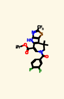 CC(C)OC(=O)C1=CN(C(=O)c2ccc(F)c(F)c2)CC(C)(C)c2c1[nH]c1nc(C(F)(F)F)sc21